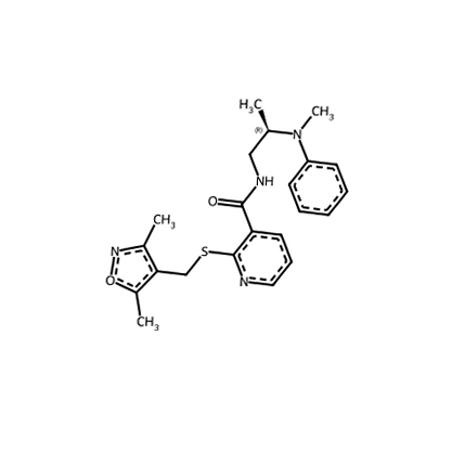 Cc1noc(C)c1CSc1ncccc1C(=O)NC[C@@H](C)N(C)c1ccccc1